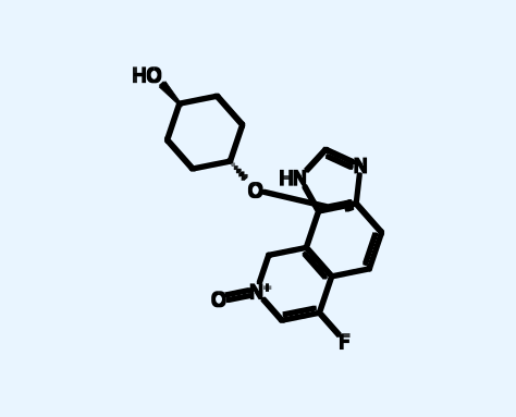 O=[N+]1C=C(F)C2=C(C1)C13NC=NC1(C=CCC3O[C@H]1CC[C@H](O)CC1)C=C2